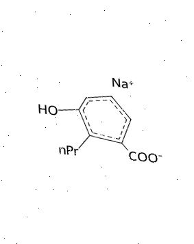 CCCc1c(O)cccc1C(=O)[O-].[Na+]